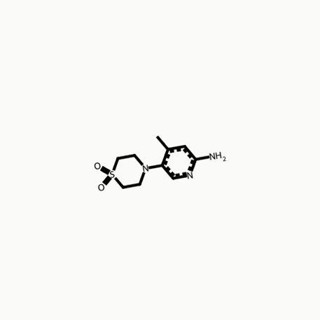 Cc1cc(N)ncc1N1CCS(=O)(=O)CC1